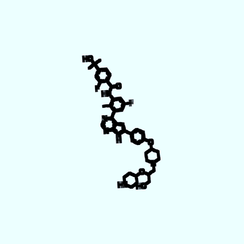 Cc1c(NC(=O)c2ccc(C(C)(C)O)cc2F)cc(F)cc1-c1ncnc2[nH]c(-c3ccc(OC4CCN(CC(CO)OC5CCNCC5)CC4)cc3)cc12